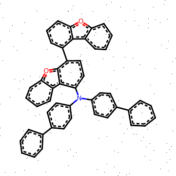 c1ccc(-c2ccc(N(c3ccc(-c4ccccc4)cc3)c3ccc(-c4cccc5oc6ccccc6c45)c4oc5ccccc5c34)cc2)cc1